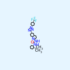 CC(C)c1ccccc1NC(=O)Nc1ccc2cc(-c3ncn(-c4ccc(C(F)(F)F)cc4)n3)ccc2n1